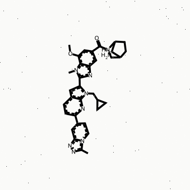 COc1cc(C(=O)N2CC3CCC2[C@@H]3N)cc2nc(-c3cc4ccc(-c5ccn6c(C)nnc6c5)nc4n3CC3CC3)n(C)c12